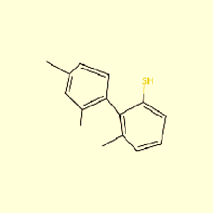 Cc1ccc(-c2c(C)cccc2S)c(C)c1